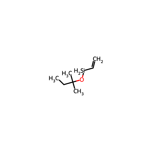 C=C[SiH2]OC(C)(C)CC